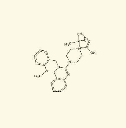 COc1ccccc1CN1Cc2ccccc2N=C1N1CC[N+](C(=O)O)(C(C)(C)C)CC1